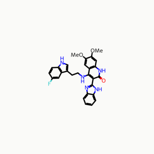 COc1cc2[nH]c(=O)c(-c3nc4ccccc4[nH]3)c(NCCc3c[nH]c4ccc(F)cc34)c2cc1OC